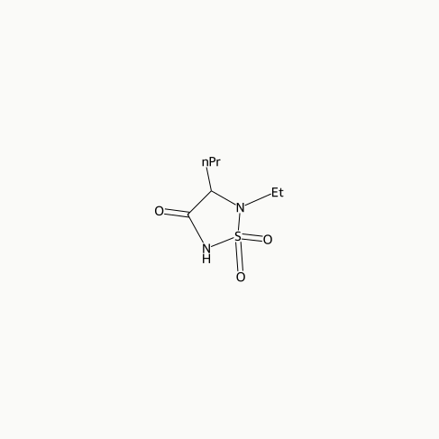 CCCC1C(=O)NS(=O)(=O)N1CC